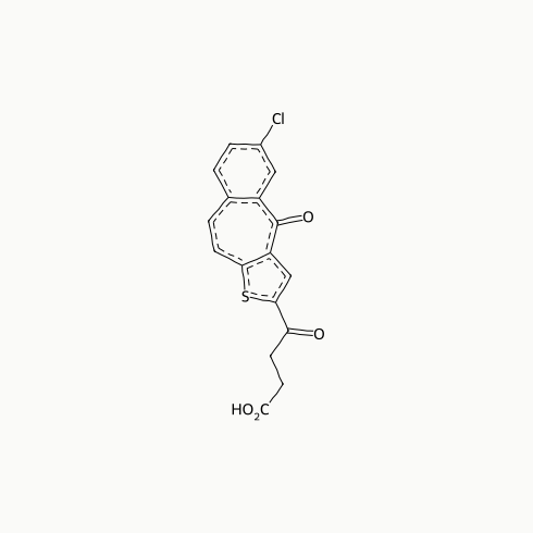 O=C(O)CCC(=O)c1cc2c(=O)c3cc(Cl)ccc3ccc2s1